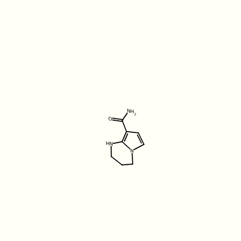 NC(=O)c1ccn2c1NCCC2